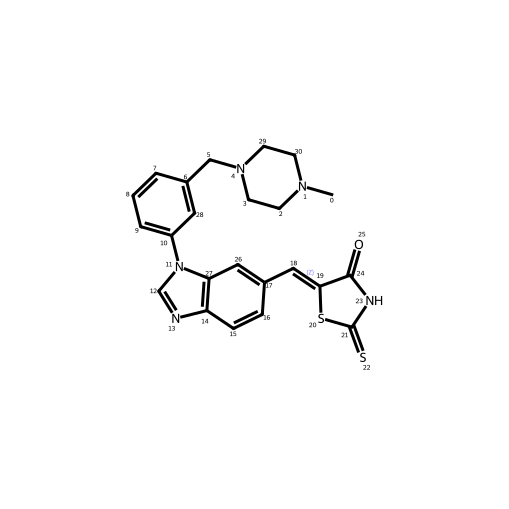 CN1CCN(Cc2cccc(-n3cnc4ccc(/C=C5\SC(=S)NC5=O)cc43)c2)CC1